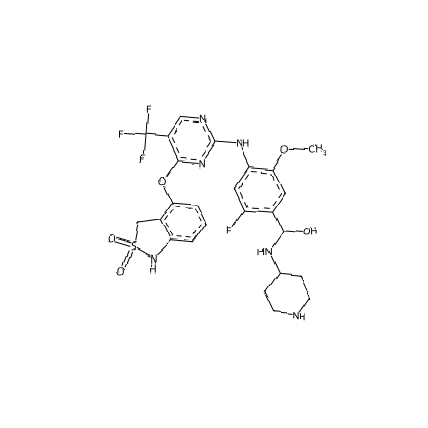 COc1cc(C(O)NC2CCNCC2)c(F)cc1Nc1ncc(C(F)(F)F)c(Oc2cccc3c2CS(=O)(=O)N3)n1